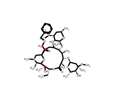 CC[C@H]1OC(=O)[C@H](C)[C@@H](O[C@H]2C[C@@](C)(OC)[C@@H](O)[C@H](C)O2)[C@H](C)[C@@H](O[C@@H]2O[C@H](C)C[C@H](N(C)C)[C@H]2O)[C@](C)(O)C[C@@H](C)C2(C(=O)COCc3ccccc3)CN(C)[C@H](C)[C@@H](O2)[C@]1(C)O